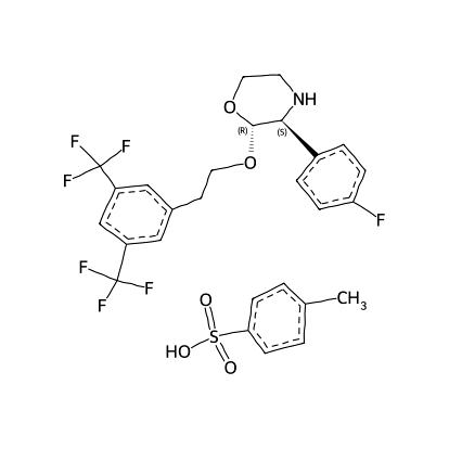 Cc1ccc(S(=O)(=O)O)cc1.Fc1ccc([C@@H]2NCCO[C@H]2OCCc2cc(C(F)(F)F)cc(C(F)(F)F)c2)cc1